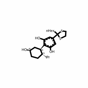 CCCCCCC1(c2cc(O)c([C@@H]3C[C@H](O)CC[C@H]3C(C)C)c(O)c2)SCCS1